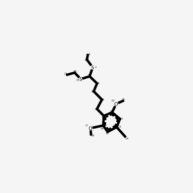 CCSC(CCCCc1c(OC)cc(C)cc1OC)SCC